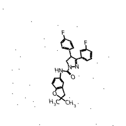 CC1(C)Cc2cc(NC(=O)N3CC(c4ccc(F)cc4)C(c4cccc(F)c4)=N3)ccc2O1